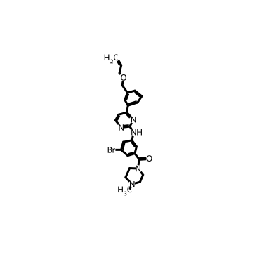 C=CCOCc1cccc(-c2ccnc(Nc3cc(Br)cc(C(=O)N4CCN(C)CC4)c3)n2)c1